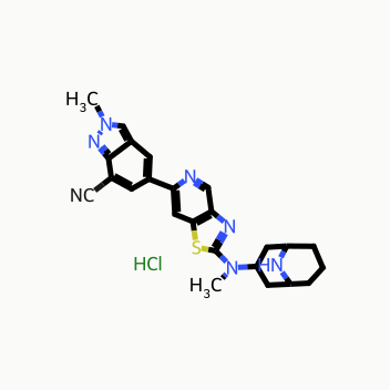 CN(c1nc2cnc(-c3cc(C#N)c4nn(C)cc4c3)cc2s1)C1CC2CCCC(C1)N2.Cl